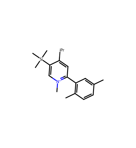 Cc1ccc(C)c(-c2cc(C(C)C)c([Si](C)(C)C)c[n+]2C)c1